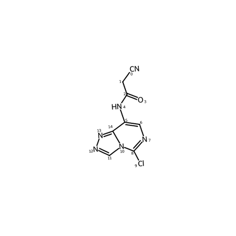 N#CCC(=O)Nc1cnc(Cl)n2cnnc12